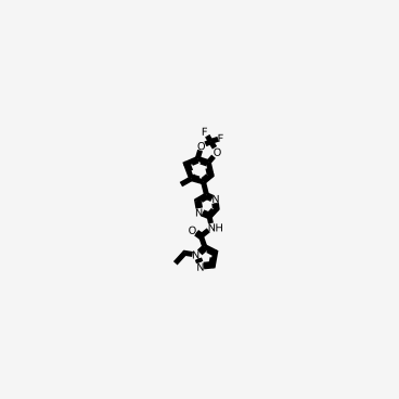 CCn1nccc1C(=O)Nc1cnc(-c2cc3c(cc2C)OC(F)(F)O3)cn1